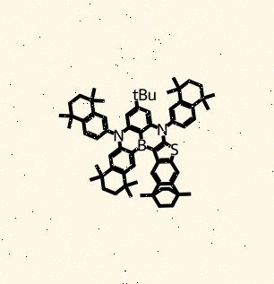 CC(C)(C)c1cc2c3c(c1)N(c1ccc4c(c1)C(C)(C)CCC4(C)C)c1sc4cc5c(cc4c1B3c1cc3c(cc1N2c1ccc2c(c1)C(C)(C)CCC2(C)C)C(C)(C)CCC3(C)C)C1(C)CCC5(C)CC1